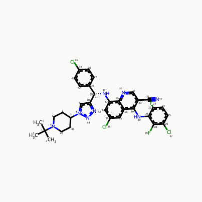 CC(C)(C)N1CCC(n2cc([C@@H](Nc3cc(Cl)cc4c(Nc5c(F)ccc(Cl)c5F)c(C#N)cnc34)c3ccc(Cl)cc3)nn2)CC1